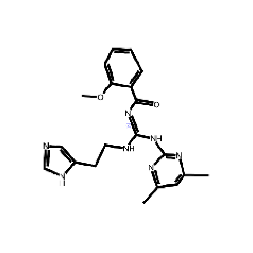 COc1ccccc1C(=O)/N=C(/NCCc1cnc[nH]1)Nc1nc(C)cc(C)n1